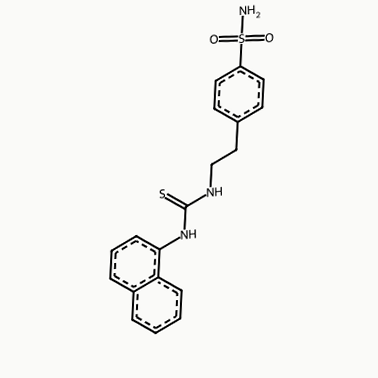 NS(=O)(=O)c1ccc(CCNC(=S)Nc2cccc3ccccc23)cc1